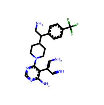 N=C/C(=C\N)c1c(N)ncnc1N1CCC(C(CN)c2ccc(C(F)(F)F)cc2)CC1